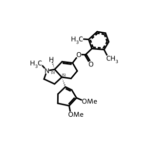 COC1=C(OC)CCC([C@@]23CCC(OC(=O)c4c(C)cccc4C)=C[C@@H]2N(C)CC3)=C1